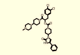 CN1CCN(C2CCN(C(=O)C(Cc3ccc(Cl)c(Cl)c3)OC(=O)N3CCC(n4cc(-c5ccccc5)[nH]c4=O)CC3)CC2)CC1